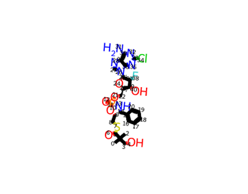 CC(C)(CO)C(=O)SCCOP(=O)(NCc1ccccc1)OC[C@H]1O[C@@H](n2cnc3c(N)nc(Cl)nc32)C(F)C1O